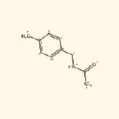 [CH2]c1ccc(CNC(=O)C(F)(F)F)cc1